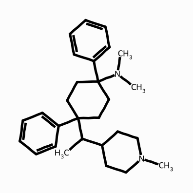 C[C](C1CCN(C)CC1)C1(c2ccccc2)CCC(c2ccccc2)(N(C)C)CC1